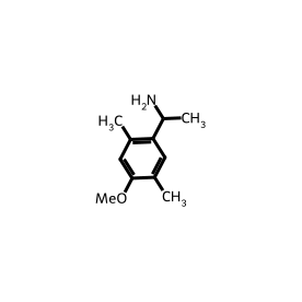 COc1cc(C)c(C(C)N)cc1C